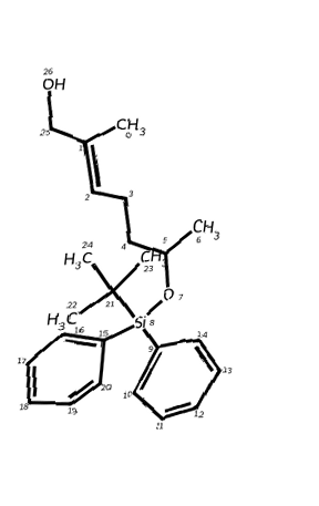 C/C(=C\CCC(C)O[Si](c1ccccc1)(c1ccccc1)C(C)(C)C)CO